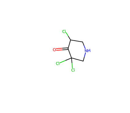 O=C1C(Cl)CNCC1(Cl)Cl